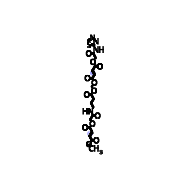 COC(=O)/C=C/C(=O)OCC(=O)NCCCC(=O)OCOC(=O)/C=C/C(=O)OCC(=O)Nc1nncs1